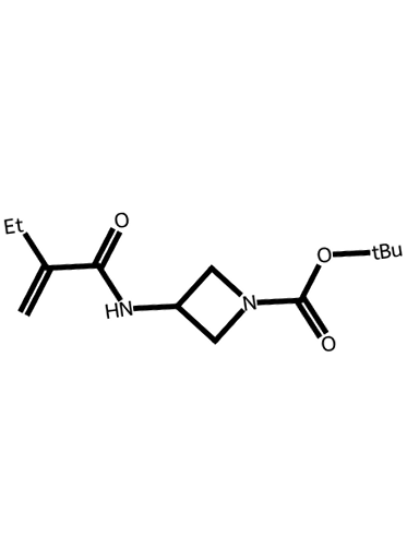 C=C(CC)C(=O)NC1CN(C(=O)OC(C)(C)C)C1